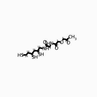 CC(=O)COCC(=O)NCC(=O)NCC(S)CC(S)CCS